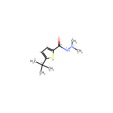 CN(C)NC(=O)c1ccc(C(C)(C)C)s1